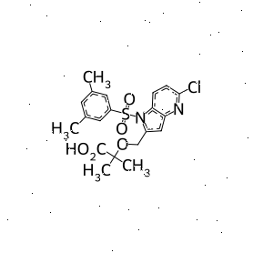 Cc1cc(C)cc(S(=O)(=O)n2c(COC(C)(C)C(=O)O)cc3nc(Cl)ccc32)c1